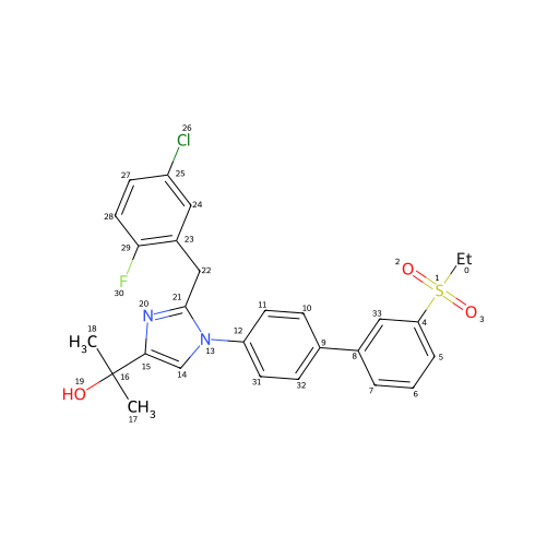 CCS(=O)(=O)c1cccc(-c2ccc(-n3cc(C(C)(C)O)nc3Cc3cc(Cl)ccc3F)cc2)c1